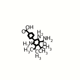 CC(C)c1c(N)c(-c2ccc(C(=O)O)cc2)c(N)c(C(N)=O)c1C(C)C